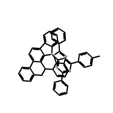 Cc1ccc(-c2nc(-c3ccccc3)nc(-n3c4ccccc4c4ccc5c(c43)C(C3C=CC=C4N=C(c6ccccc6)OC43)Cc3ccccc3-5)n2)cc1